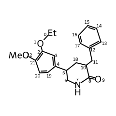 CCOc1cc(C2CNC(=O)C(Cc3ccccc3)C2)ccc1OC